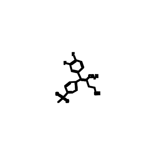 CS(=O)(=O)c1ccc(C(=C(CCO)C(=O)O)c2ccc(F)c(F)c2)cc1